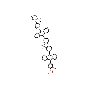 COc1ccc(-c2c3ccccc3c(-c3ccc4c(c3)C(C)(C)c3cc(-c5c6ccccc6c(-c6ccc7c(c6)C(C)(C)c6ccccc6-7)c6ccccc56)ccc3-4)c3ccccc23)cc1C